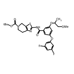 COCC(C)Oc1cc(Oc2cc(F)cc(F)c2)cc(C(=O)Nc2nc3c(s2)CN(C(=O)OC(C)(C)C)CC3)c1